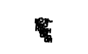 C=CCN(Cc1ccc2nc[nH]c(=O)c2c1)c1ccc(C(=O)N[C@@H](CCC(=O)O)C(=O)O)cc1